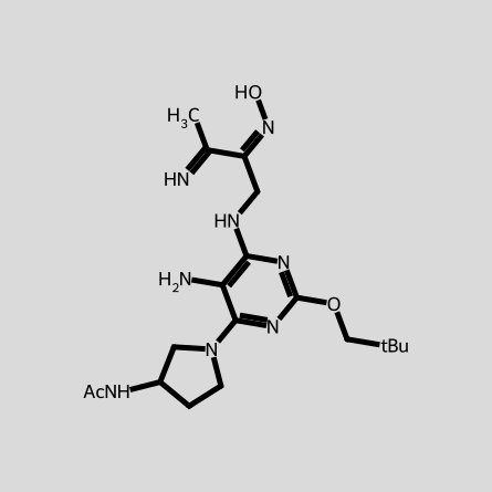 CC(=N)/C(CNc1nc(OCC(C)(C)C)nc(N2CCC(NC(C)=O)C2)c1N)=N\O